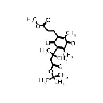 COC(=O)CCC1=C(C)C(=O)C(C)=C(C(C)(C)CC(=O)OC(C)(C)C)C1=O